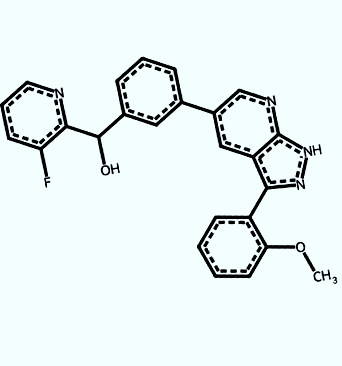 COc1ccccc1-c1n[nH]c2ncc(-c3cccc(C(O)c4ncccc4F)c3)cc12